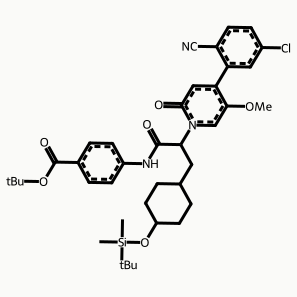 COc1cn(C(CC2CCC(O[Si](C)(C)C(C)(C)C)CC2)C(=O)Nc2ccc(C(=O)OC(C)(C)C)cc2)c(=O)cc1-c1cc(Cl)ccc1C#N